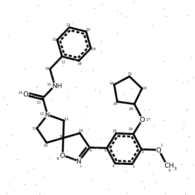 COc1ccc(C2=NOC3(CCN(C(=O)NCc4ccccc4)C3)C2)cc1OC1CCCC1